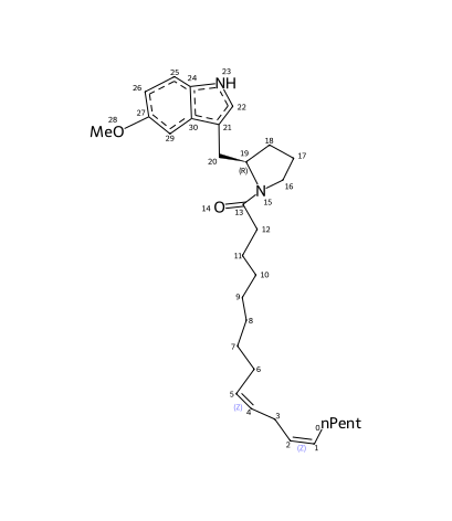 CCCCC/C=C\C/C=C\CCCCCCCC(=O)N1CCC[C@@H]1Cc1c[nH]c2ccc(OC)cc12